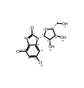 OC[C@H]1O[C@@H](n2c(Cl)nc3c(Cl)cc(Cl)cc32)[C@H](O)[C@@H]1O